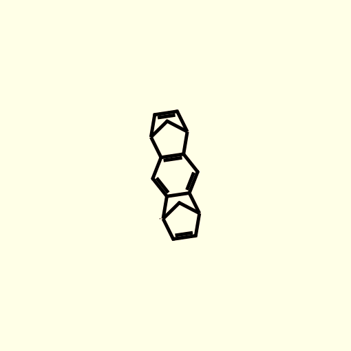 C1=CC2C[C]1c1cc3c(cc12)C1C=CC3C1